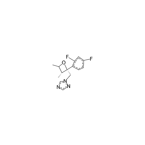 CC1O[C@@](Cn2cncn2)(c2ccc(F)cc2F)[C@@H]1C